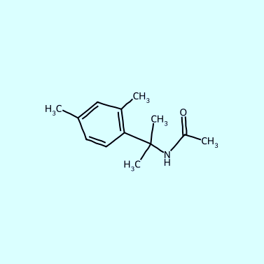 CC(=O)NC(C)(C)c1ccc(C)cc1C